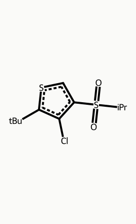 CC(C)S(=O)(=O)c1csc(C(C)(C)C)c1Cl